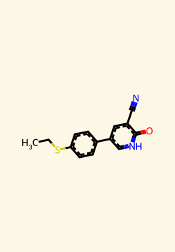 CCSc1ccc(-c2c[nH]c(=O)c(C#N)c2)cc1